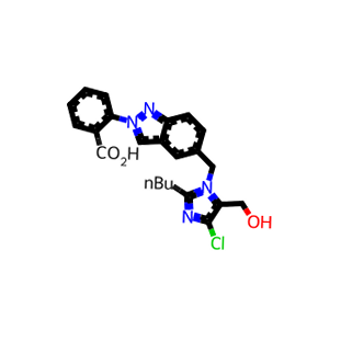 CCCCc1nc(Cl)c(CO)n1Cc1ccc2nn(-c3ccccc3C(=O)O)cc2c1